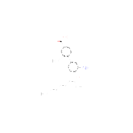 CCCCCCC(C)Oc1ccc(-c2ccc(C(=O)O)cc2C)cc1N